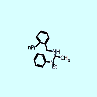 CCCc1ccccc1CNC(C)N(CC)c1ccccc1